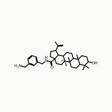 C=C(C)C1CCC2(C(=O)NCc3cccc(CN)c3)CC[C@]3(C)C(CCC4C5(C)CCC(O)C(C)(C)C5CCC43C)C12